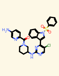 Nc1ccc(C(=O)N2CCCC(Nc3ncc(Cl)c(-c4cn(S(=O)(=O)c5ccccc5)c5ccccc45)n3)C2)nc1